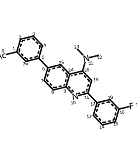 CC(=O)c1cccc(-c2ccc3nc(-c4cccc(F)c4)cc(N(C)C)c3c2)c1